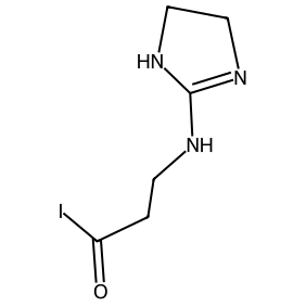 O=C(I)CCNC1=NCCN1